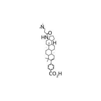 CN(C)CCC(=O)N[C@]12CCCC1[C@H]1CCC3[C@@]4(C)CC=C(c5ccc(C(=O)O)cc5)C(C)(C)C4CC[C@@]3(C)[C@]1(C)CC2